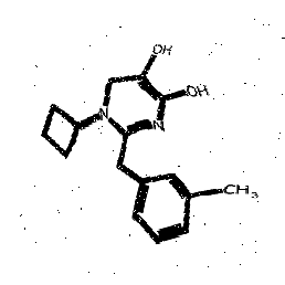 Cc1cccc(CC2=NC(O)=C(O)CN2C2CCC2)c1